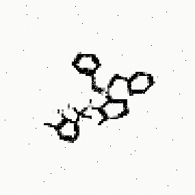 CCC(C)(Pc1c(C)cccc1N(Cc1ccccc1)Cc1ccccc1)c1cccc(C)c1O